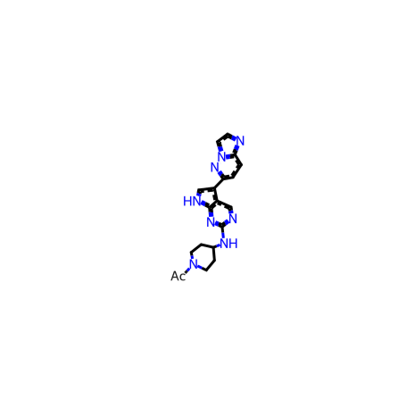 CC(=O)N1CCC(Nc2ncc3c(-c4ccc5nccn5n4)c[nH]c3n2)CC1